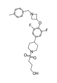 Cc1ccc(CN2CC(Oc3c(F)cc(C4CCN(S(=O)(=O)CCCO)CC4)cc3F)C2)cc1